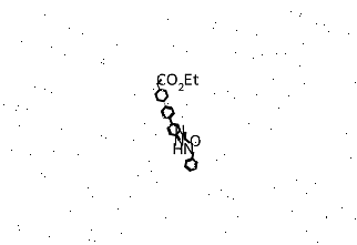 CCOC(=O)C[C@H]1CC[C@H](c2ccc(-c3ccc4nc(C(=O)NCc5ccccc5)cn4c3)cc2)CC1